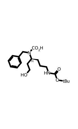 CC(C)(C)OC(=O)NCCC[C@@H](CCO)N(Cc1ccccc1)C(=O)O